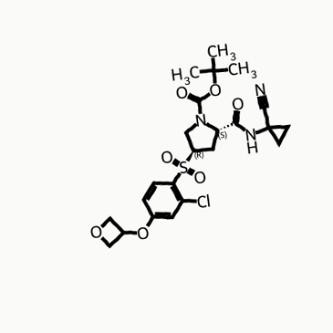 CC(C)(C)OC(=O)N1C[C@H](S(=O)(=O)c2ccc(OC3COC3)cc2Cl)C[C@H]1C(=O)NC1(C#N)CC1